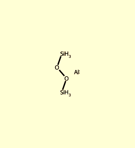 [Al].[SiH3]OO[SiH3]